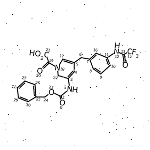 O=C(NC1=CC(Cc2cccc(NC(=O)C(F)(F)F)c2)=CN(C(=O)C(=O)O)C1)OCc1ccccc1